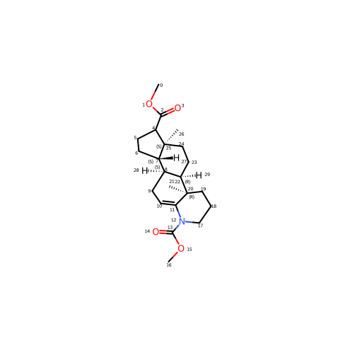 COC(=O)C1CC[C@H]2[C@@H]3CC=C4N(C(=O)OC)CCC[C@]4(C)[C@@H]3CC[C@]12C